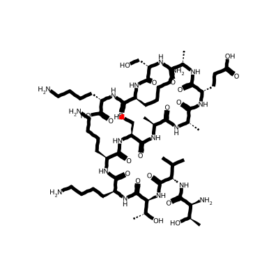 CC(C)[C@H](NC(=O)[C@@H](N)[C@@H](C)O)C(=O)N[C@H](C(=O)N[C@@H](CCCCN)C(=O)N[C@@H](CCCCN)C(=O)N[C@@H](CO)C(=O)N[C@@H](C)C(=O)N[C@@H](C)C(=O)N[C@@H](CCC(=O)O)C(=O)N[C@@H](C)C(=O)N[C@@H](CO)C(=O)N[C@@H](CCCCN)C(=O)N[C@@H](CCCCN)C(=O)O)[C@@H](C)O